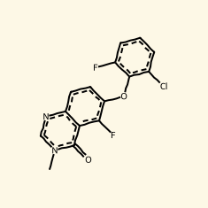 Cn1cnc2ccc(Oc3c(F)cccc3Cl)c(F)c2c1=O